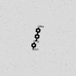 CCCCCCCCc1ccc(OC(=O)c2ccc(-c3ccc(OC)cc3)cc2)cc1